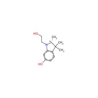 C[C@H]1N(CCO)c2cc(O)ccc2C1(C)C